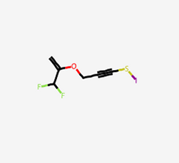 C=C(OCC#CSI)C(F)F